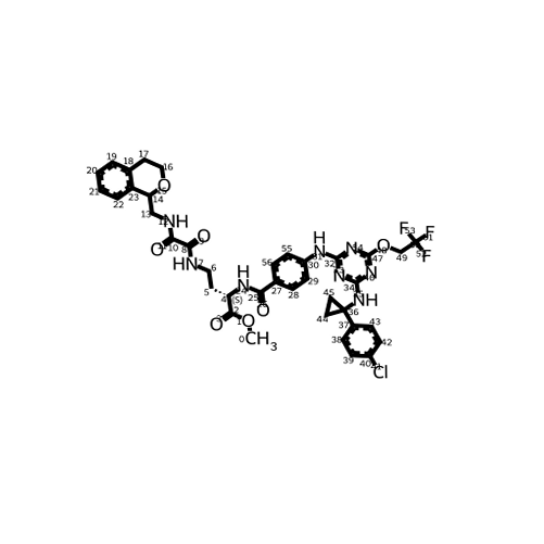 COC(=O)[C@H](CCNC(=O)C(=O)NCC1OCCc2ccccc21)NC(=O)c1ccc(Nc2nc(NC3(c4ccc(Cl)cc4)CC3)nc(OCC(F)(F)F)n2)cc1